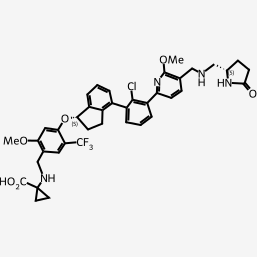 COc1cc(O[C@H]2CCc3c(-c4cccc(-c5ccc(CNC[C@@H]6CCC(=O)N6)c(OC)n5)c4Cl)cccc32)c(C(F)(F)F)cc1CNC1(C(=O)O)CC1